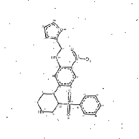 O=[N+]([O-])c1ccc(N2CCNCC2S(=O)(=O)c2ccccc2)cc1NCc1ccco1